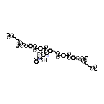 C=CC(=O)OCCCCOCC(COc1ccc(OC(=O)C2CCC(C(=O)OCCc3ccc(OC(=O)C4CCC(C(=O)Oc5ccc(OCC(COCCCCOC(=O)C=C)OC(=O)C=C)cc5)CC4)c(/C=C(\CC)CC(CC)/C(S)=N/c4ccccc4C)c3)CC2)cc1)OC(=O)C=C